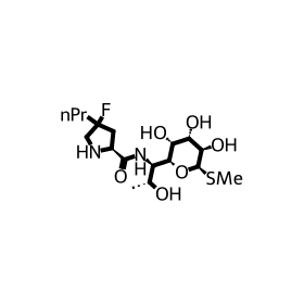 CCCC1(F)CN[C@H](C(=O)N[C@@H]([C@H]2O[C@H](SC)[C@H](O)[C@@H](O)[C@H]2O)[C@@H](C)O)C1